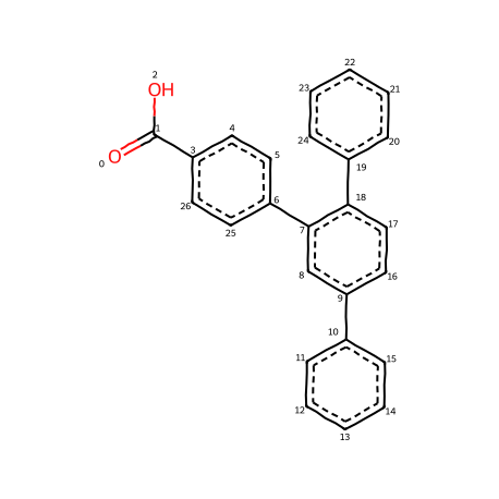 O=C(O)c1ccc(-c2cc(-c3ccccc3)ccc2-c2ccccc2)cc1